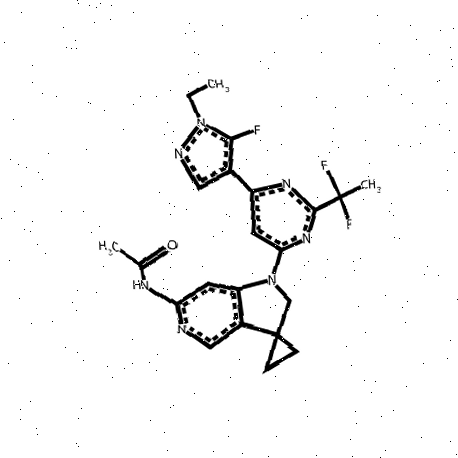 CCn1ncc(-c2cc(N3CC4(CC4)c4cnc(NC(C)=O)cc43)nc(C(C)(F)F)n2)c1F